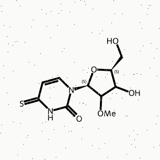 COC1C(O)[C@H](CO)O[C@@H]1n1ccc(=S)[nH]c1=O